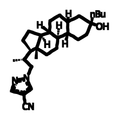 CCCC[C@@]1(O)CC[C@H]2[C@H](CC[C@@H]3[C@@H]2CC[C@]2(C)[C@@H]([C@@H](C)Cn4cc(C#N)cn4)CC[C@@H]32)C1